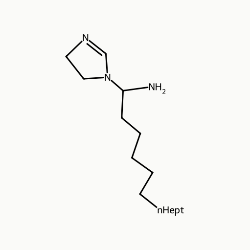 CCCCCCCCCCCCC(N)N1C=NCC1